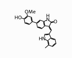 COc1cc(-c2ccc3c(c2)NC(=O)C3=Cc2c[nH]c3c(C)cccc23)ccc1O